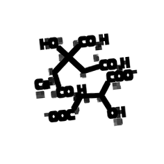 O=C(O)CC(O)(CC(=O)O)C(=O)O.O=C([O-])CC(O)C(=O)[O-].[Ca+2]